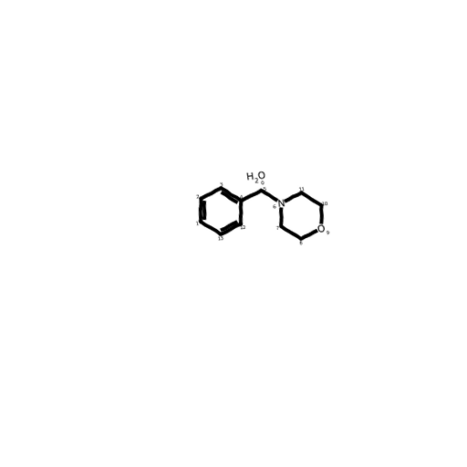 O.c1ccc(CN2CCOCC2)cc1